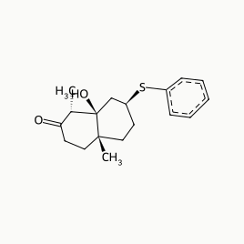 C[C@H]1C(=O)CC[C@@]2(C)CC[C@H](Sc3ccccc3)C[C@@]12O